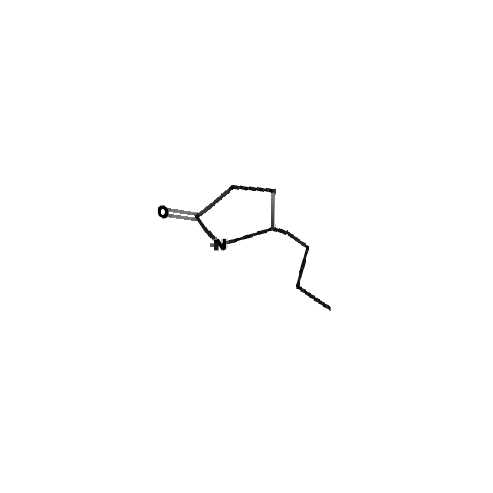 CCCC1CCC(=O)[N]1